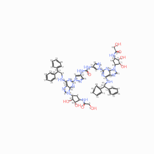 O=C(CO)NC1CC(n2cnc3c(NCC(c4ccccc4)c4ccccc4)nc(-n4cc(NC(=O)Nc5cnn(-c6nc(NCC(c7ccccc7)c7ccccc7)c7ncn(C8CC(NC(=O)CO)C(O)C8O)c7n6)c5)cn4)nc32)C(O)C1O